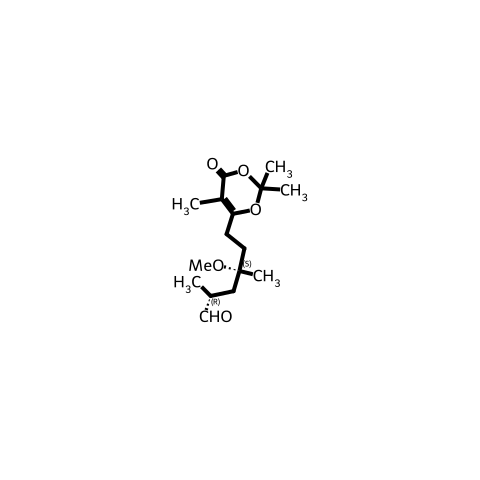 CO[C@@](C)(CCC1=C(C)C(=O)OC(C)(C)O1)C[C@@H](C)C=O